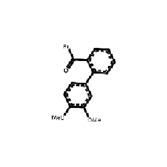 CCC(=O)c1ccccc1-c1ccc(OC)c(OC)c1